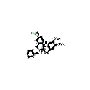 COc1cc2c(cc1OC)[C@H]1c3ccc(C)cc3CN(Cc3ccccc3)[C@@H]1CC2.Cl